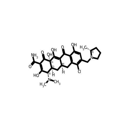 C[C@@H]1CCCN1Cc1cc(O)c2c(c1Cl)C[C@H]1C[C@H]3[C@H](N(C)C)C(O)=C(C(N)=O)C(=O)[C@@]3(O)C(O)=C1C2=O